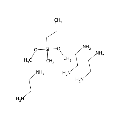 CCC[Si](C)(OC)OC.NCCN.NCCN.NCCN